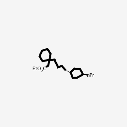 CCC[C@H]1CC[C@H](CCCCC2(CC(=O)OCC)CCCCC2)CC1